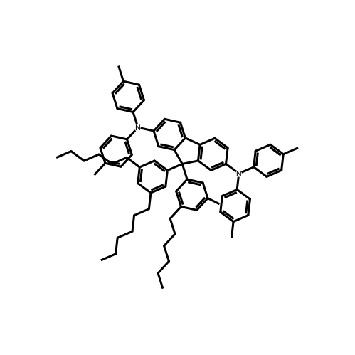 CCCCCCc1cc(C)cc(C2(c3cc(CCCCCC)cc(CCCCCC)c3)c3cc(N(c4ccc(C)cc4)c4ccc(C)cc4)ccc3-c3ccc(N(c4ccc(C)cc4)c4ccc(C)cc4)cc32)c1